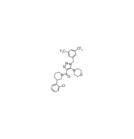 O=C(c1nnn(Cc2cc(C(F)(F)F)cc(C(F)(F)F)c2)c1N1CCOCC1)N1CCCC(c2ccccc2Cl)C1